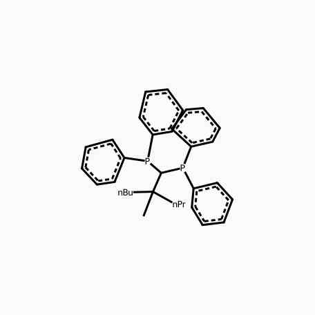 CCCCC(C)(CCC)C(P(c1ccccc1)c1ccccc1)P(c1ccccc1)c1ccccc1